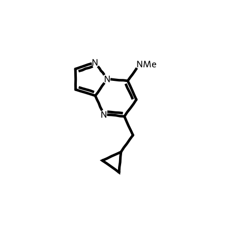 CNc1cc(CC2CC2)nc2ccnn12